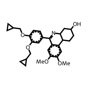 COc1cc2c(cc1OC)C1CCC(O)CC1N=C2c1ccc(OCC2CC2)c(OCC2CC2)c1